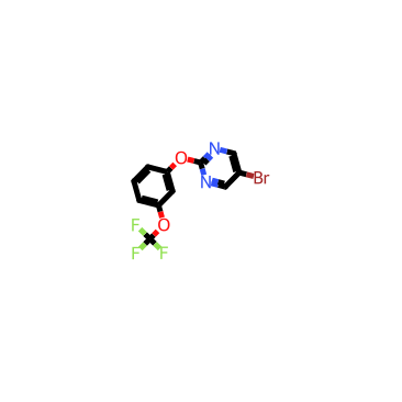 FC(F)(F)Oc1cccc(Oc2ncc(Br)cn2)c1